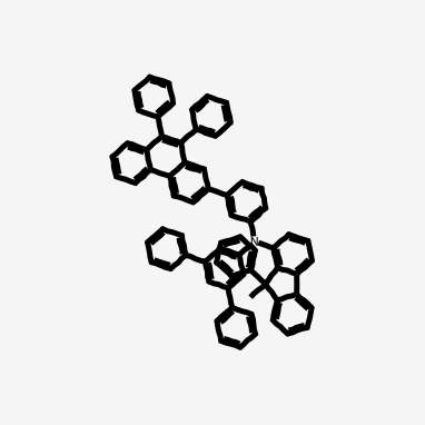 CC1(c2ccccc2)c2ccccc2-c2cccc(N(c3cccc(-c4ccc5c(c4)c(-c4ccccc4)c(-c4ccccc4)c4ccccc45)c3)c3cc(-c4ccccc4)cc(-c4ccccc4)c3)c21